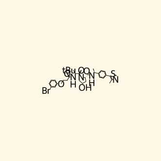 Cc1ncsc1-c1ccc([C@H](C)NC(=O)[C@@H]2C[C@@H](O)CN2C(=O)C(NC(=O)CCOc2cccc(Br)c2)C(C)(C)C)cc1